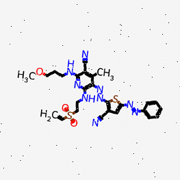 C=CS(=O)(=O)CCNc1nc(NCCCOC)c(C#N)c(C)c1/N=N/c1sc(/N=N/c2ccccc2)cc1C#N